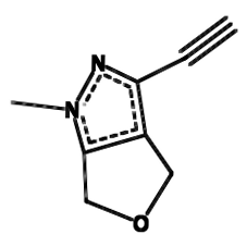 C#Cc1nn(C)c2c1COC2